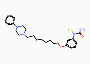 NC(=O)N(S)c1cccc(OCCCCCCCCN2CCN(c3ccccc3)CC2)c1